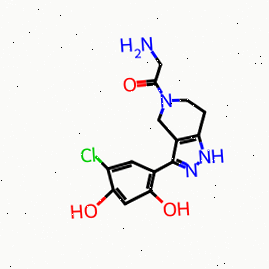 NCC(=O)N1CCc2[nH]nc(-c3cc(Cl)c(O)cc3O)c2C1